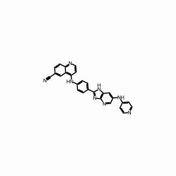 N#Cc1ccc2nccc(Nc3ccc(-c4nc5ncc(Nc6ccncc6)cc5[nH]4)cc3)c2c1